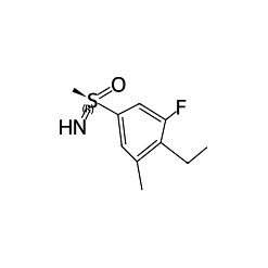 CCc1c(C)cc([S@](C)(=N)=O)cc1F